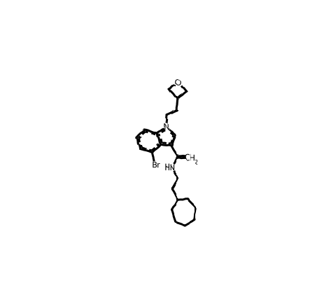 C=C(NCCC1CCCCCC1)c1cn(CCC2COC2)c2cccc(Br)c12